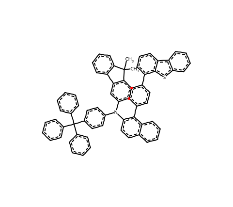 CC1(C)c2ccccc2-c2cc(N(c3ccc(C(c4ccccc4)(c4ccccc4)c4ccccc4)cc3)c3ccc4ccccc4c3-c3ccc(-c4cccc5c4sc4ccccc45)cc3)ccc21